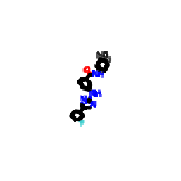 O=C(Nc1cccc([N+](=O)[O-])c1)c1cccc(Nc2ncc(-c3cccc(F)c3)cn2)c1